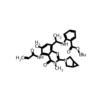 C=CC(=O)Nc1c(C)cc(C(C)Nc2ccccc2C(=O)OC(C)(C)C)c2nc(N3CC4CC4C3)n(C)c(=O)c12